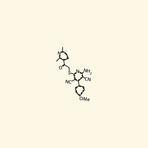 COc1ccc(-c2c(C#N)c(N)nc(SCC(=O)c3ccc(C)nc3C)c2C#N)cc1